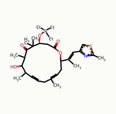 CC[Si](CC)(CC)O[C@H]1CC(=O)OC(/C(C)=C/c2csc(C)n2)C/C=C(/C)C/C=C/C(C)C(O)C(C)C(=O)C1(C)C